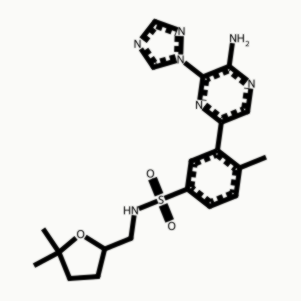 Cc1ccc(S(=O)(=O)NCC2CCC(C)(C)O2)cc1-c1cnc(N)c(-n2cncn2)n1